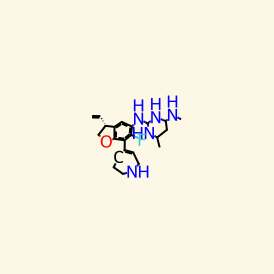 C=C[C@H]1COc2c1cc(NC1NC(C)CC(NC)N1)c(F)c2C1=CCNCCC1